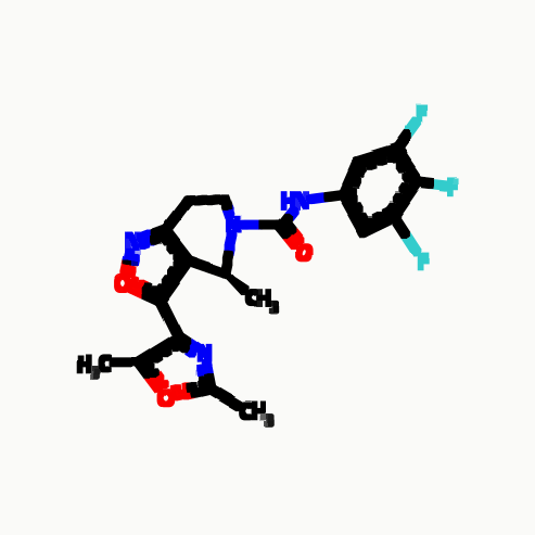 Cc1nc(-c2onc3c2[C@H](C)N(C(=O)Nc2cc(F)c(F)c(F)c2)CC3)c(C)o1